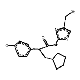 O=C(Nc1nc(CO)cs1)C(CC1CCCC1)c1ccc(Cl)cc1